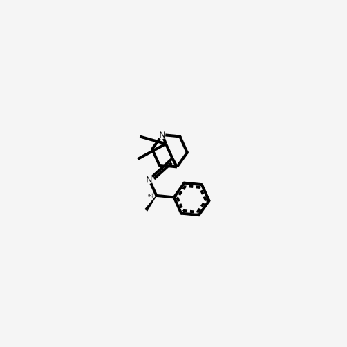 C[C@@H](N=C1C2CCN(CC2)C1(C)C)c1ccccc1